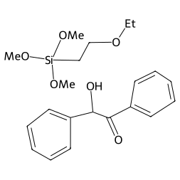 CCOCC[Si](OC)(OC)OC.O=C(c1ccccc1)C(O)c1ccccc1